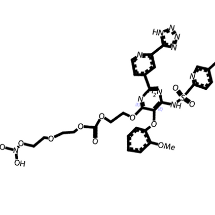 C=C(/N=C(OCCOC(=O)OCCOCCON(O)O)\C(Oc1ccccc1OC)=C(/N)NS(=O)(=O)c1ccc(C(C)C)cn1)c1ccnc(-c2nnn[nH]2)c1